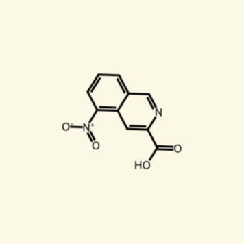 O=C(O)c1cc2c([N+](=O)[O-])cccc2cn1